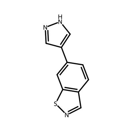 c1cc2cnsc2cc1-c1cn[nH]c1